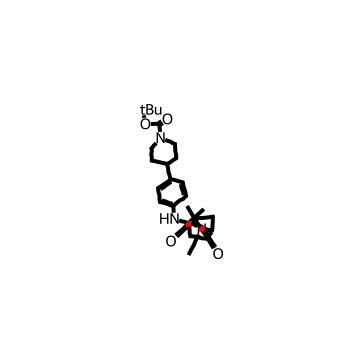 CN1C(=O)C2CCC(Nc3ccc(C4CCN(C(=O)OC(C)(C)C)CC4)cc3)(CC2)C1=O